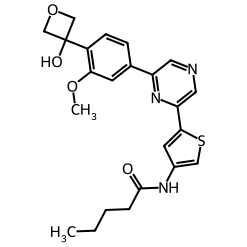 CCCCC(=O)Nc1csc(-c2cncc(-c3ccc(C4(O)COC4)c(OC)c3)n2)c1